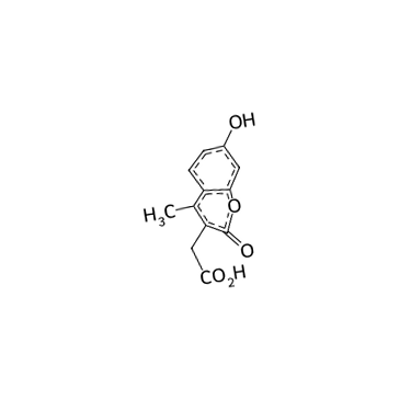 Cc1c(CC(=O)O)c(=O)oc2cc(O)ccc12